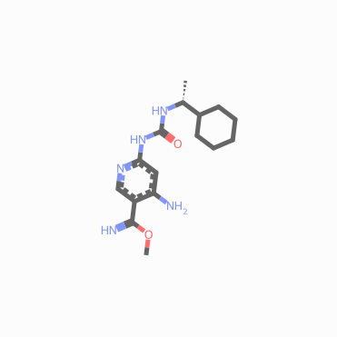 COC(=N)c1cnc(NC(=O)N[C@H](C)C2CCCCC2)cc1N